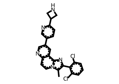 Cc1c(-c2c(Cl)cccc2Cl)nc2c3cc(-c4ccc(C5CNC5)nc4)cnc3ccn12